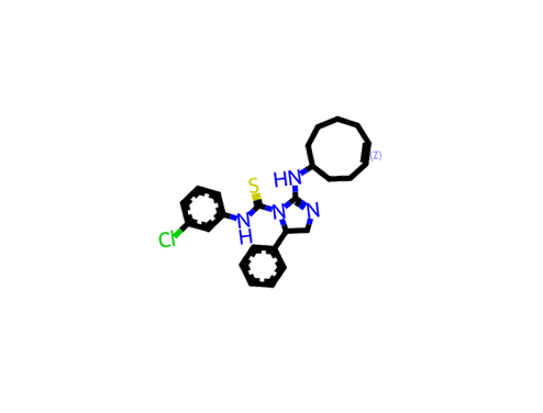 S=C(Nc1cccc(Cl)c1)N1C(NC2CC/C=C\CCCC2)=NCC1c1ccccc1